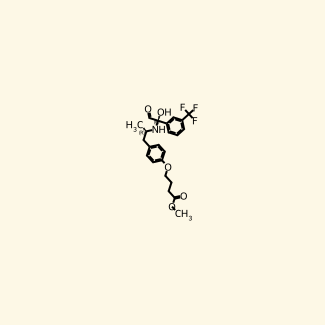 COC(=O)CCCOc1ccc(C[C@@H](C)N[C@](O)(C=O)c2cccc(C(F)(F)F)c2)cc1